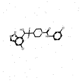 O=C(Nc1cccc(Cl)c1)N1CCC(C(F)(F)C(O)c2cc(Cl)cc3cn[nH]c23)CC1